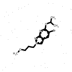 COCCCn1cc2cc(Br)c(OC(C)C)nc2n1